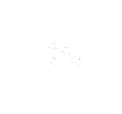 CCS(=O)(=O)NC1CCN2C(=O)OCCCCCc3c(F)cc(F)cc3-c3cccc(c3)CC12